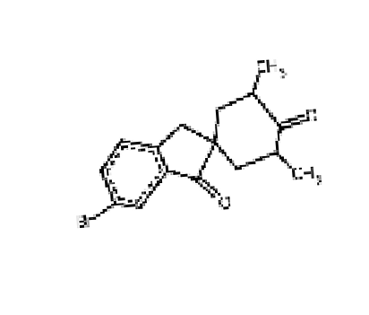 CC1CC2(Cc3ccc(Br)cc3C2=O)CC(C)C1=O